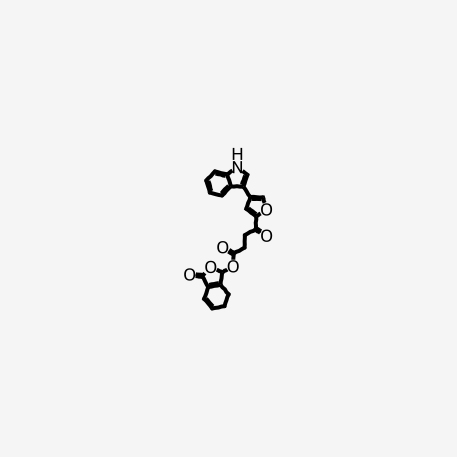 O=C(CCC(=O)c1cc(-c2c[nH]c3ccccc23)co1)OC1OC(=O)C2=C1CCC=C2